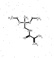 C=C(C)C(=O)NC[Si](C)(OCC)OCC